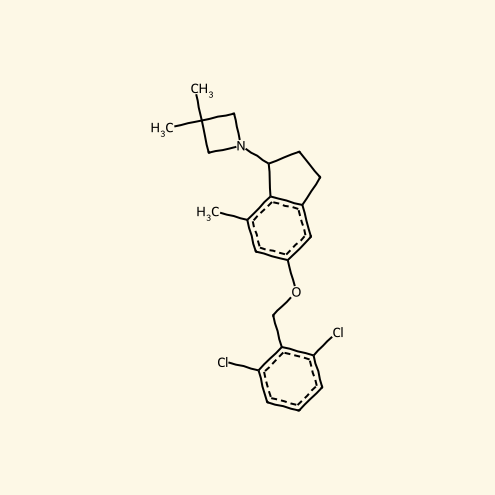 Cc1cc(OCc2c(Cl)cccc2Cl)cc2c1C(N1CC(C)(C)C1)CC2